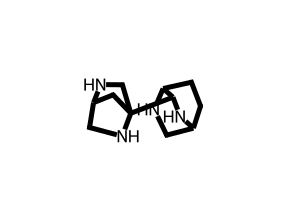 C1NC2(C3NC4CCC3NC4)CNC1C2